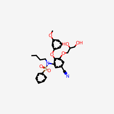 CCCCN(c1cc(C#N)cc(OCC(O)CO)c1Oc1cccc(OC)c1)S(=O)(=O)c1ccccc1